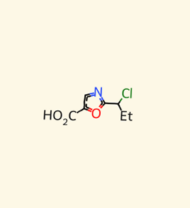 CCC(Cl)c1ncc(C(=O)O)o1